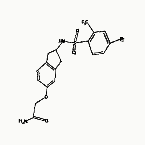 CC(C)c1ccc(S(=O)(=O)NC2Cc3ccc(OCC(N)=O)cc3C2)c(C(F)(F)F)c1